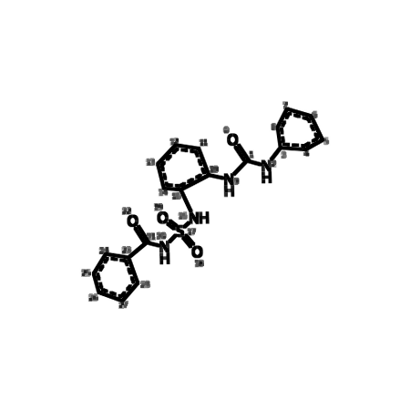 O=C(Nc1ccccc1)Nc1ccccc1NS(=O)(=O)NC(=O)c1ccccc1